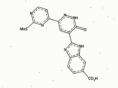 CSc1nccc(-c2cc(-c3nc4ccc(C(=O)O)cc4[nH]3)c(=O)[nH]n2)n1